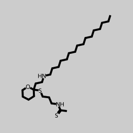 CCCCCCCCCCCCCCCCNCCC1(SCCCNC(C)=S)CCCCO1